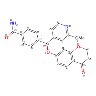 COc1cc([C@@H](Oc2ccc3c(c2)OCCC3=O)c2ccc(C(N)=O)cc2)ccn1